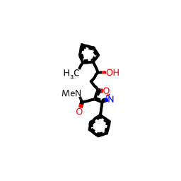 CNC(=O)c1c(-c2ccccc2)noc1CC(O)c1ccccc1C